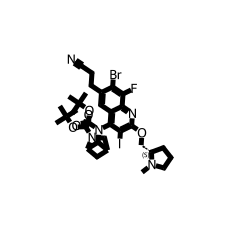 CN1CCC[C@H]1COc1nc2c(F)c(Br)c(CCC#N)cc2c(N(C(=O)OC(C)(C)C)C2C3CC2N(C(=O)OC(C)(C)C)C3)c1I